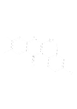 CCc1nc2cc(F)c(C)cc2c(=O)n1-c1ccc(Br)cc1F